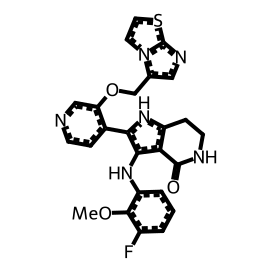 COc1c(F)cccc1Nc1c(-c2ccncc2OCc2cnc3sccn23)[nH]c2c1C(=O)NCC2